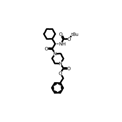 CC(C)(C)OC(=O)N[C@H](C(=O)N1CCN(C(=O)OCc2ccccc2)CC1)C1CCCCC1